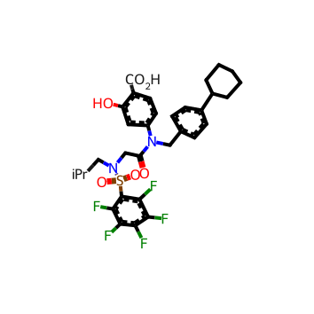 CC(C)CN(CC(=O)N(Cc1ccc(C2CCCCC2)cc1)c1ccc(C(=O)O)c(O)c1)S(=O)(=O)c1c(F)c(F)c(F)c(F)c1F